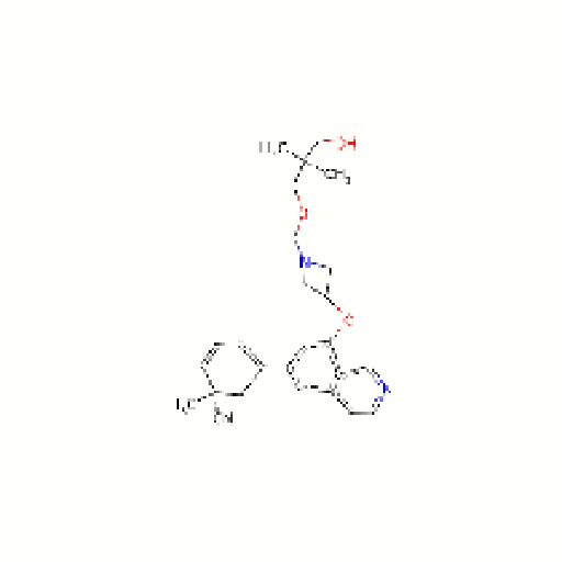 CC(C)(CO)COCN1CC(Oc2cc(C3=CC=C[C@@](C)(C#N)C3)cc3ccncc23)C1